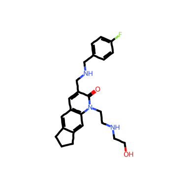 O=c1c(CNCc2ccc(F)cc2)cc2cc3c(cc2n1CCNCCO)CCC3